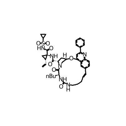 C=C[C@@H]1C[C@]1(NC(=O)[C@@H]1C[C@@H]2CN1C(=O)[C@H](CCCC)NC(=O)NCCC/C=C/c1ccc3nc(-c4ccccc4)cc(c3c1)O2)C(=O)NS(=O)(=O)C1CC1